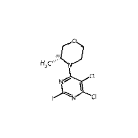 C[C@@H]1COCCN1c1nc(I)nc(Cl)c1Cl